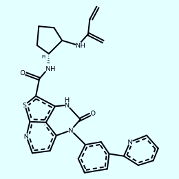 C=CC(=C)NC1CCC[C@H]1NC(=O)c1sc2nccc3c2c1NC(=O)N3c1cccc(-c2ccccn2)c1